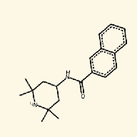 CC1(C)CC(NC(=O)c2ccc3ccccc3c2)CC(C)(C)N1